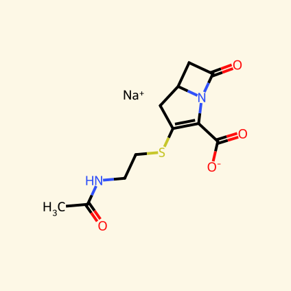 CC(=O)NCCSC1=C(C(=O)[O-])N2C(=O)CC2C1.[Na+]